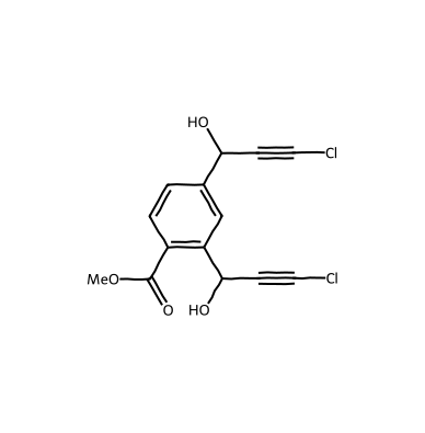 COC(=O)c1ccc(C(O)C#CCl)cc1C(O)C#CCl